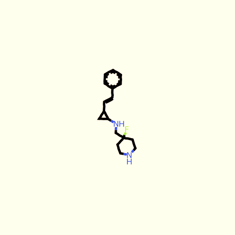 FC1(CNC2CC2/C=C/c2ccccc2)CCNCC1